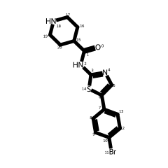 O=C(Nc1ncc(-c2ccc(Br)cc2)s1)C1CCNCC1